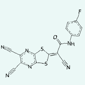 N#CC(C(=O)Nc1ccc(F)cc1)=C1Sc2nc(C#N)c(C#N)nc2S1